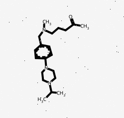 CC(=O)CCCN(C)Cc1ccc(N2CCN(C(C)C)CC2)cc1